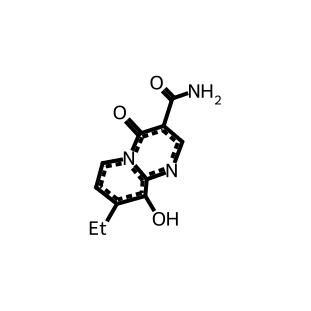 CCc1ccn2c(=O)c(C(N)=O)cnc2c1O